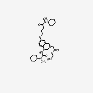 CN(C(=O)CCCOc1ccc2c(c1)CN(CC(=O)OCC(C)(C)C)CN2NC(=O)N(C)C1CCCCC1)C1CCCCC1